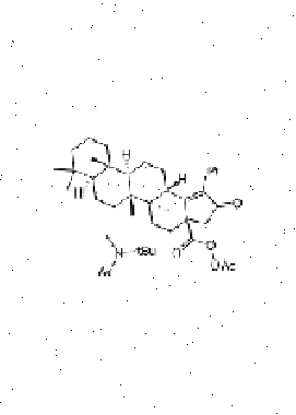 CC(=O)N(C)C(C)(C)C.CC(=O)OOC(=O)[C@@]12CC[C@]3(C)[C@H](CC[C@@H]4[C@@]5(C)CCCC(C)(C)[C@@H]5CC[C@]43C)C1=C(C(C)C)C(=O)C2